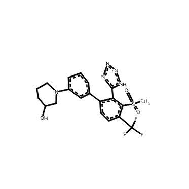 CS(=O)(=O)c1c(C(F)(F)F)ccc(-c2cccc(N3CCCC(O)C3)c2)c1-c1nnn[nH]1